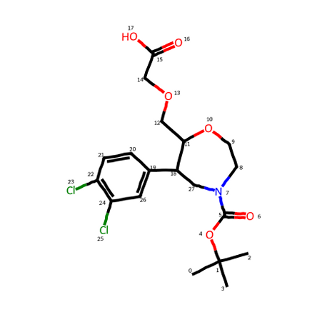 CC(C)(C)OC(=O)N1CCOC(COCC(=O)O)C(c2ccc(Cl)c(Cl)c2)C1